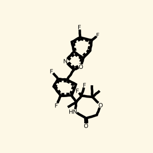 CC1(C)OCC(=O)NC(C)(c2cc(-c3nc4cc(F)c(F)cc4o3)c(F)cc2F)C1(F)F